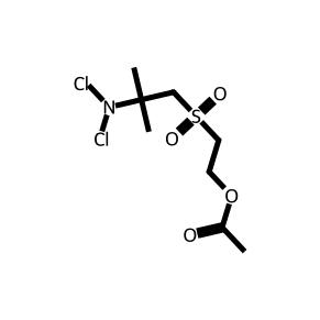 CC(=O)OCCS(=O)(=O)CC(C)(C)N(Cl)Cl